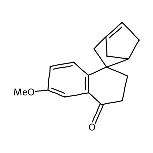 COc1ccc2c(c1)C(=O)CCC21CC2=CCC1C2